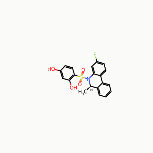 C[C@@H]1c2ccccc2-c2ccc(F)cc2N1S(=O)(=O)c1ccc(O)cc1O